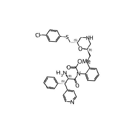 COC(=O)N(C(=O)[C@H](N)[C@@H](c1ccccc1)c1ccncc1)c1ccccc1CC[C@@H]1CNC[C@@H](CSc2ccc(Cl)cc2)O1